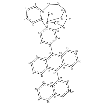 c1ccc2c(c1)-c1ccc(-c3c4ccccc4c(-c4cncc5ccccc45)c4ccccc34)cc1C1CC3CC(CC2C3)C1